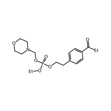 CCOP(=O)(OCCc1ccc(C(=O)CC)cc1)OCN1CCOCC1